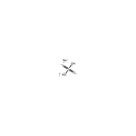 O=S(O)(O)=S.[I-].[Na+]